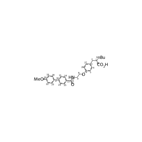 CCCCC(Cc1ccc(OCCNC(=O)c2ccc(-c3ccc(OC)cc3)cc2)cc1)C(=O)O